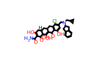 NC(=O)C1=C(O)C[C@@H]2CC3Cc4c(Cl)c(CN(CC5CC5)C5Cc6ccccc6C5)cc(O)c4C(=O)C3=C(O)[C@]2(O)C1=O